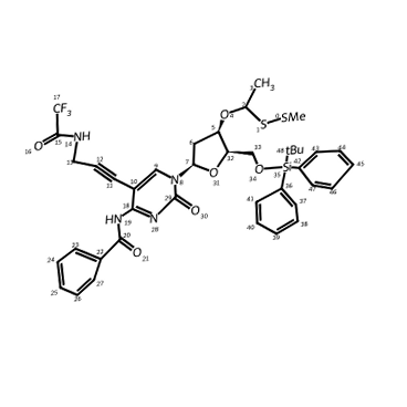 CSSC(C)O[C@@H]1C[C@H](n2cc(C#CCNC(=O)C(F)(F)F)c(NC(=O)c3ccccc3)nc2=O)O[C@@H]1CO[Si](c1ccccc1)(c1ccccc1)C(C)(C)C